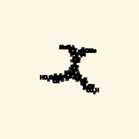 COc1ccc(N(c2ccc(OC)cc2)c2ccc(-c3ccc(N(c4ccc(-c5ccc(/C=C(\C#N)C(=O)O)s5)cc4)c4ccc(-c5ccc(/C=C(\C#N)C(=O)O)s5)cc4)cc3)cc2)cc1